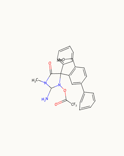 COCc1ccc(-c2ccccc2)cc1C1(c2ccccc2)C(=O)N(C)C(N)N1OC(=O)C(F)(F)F